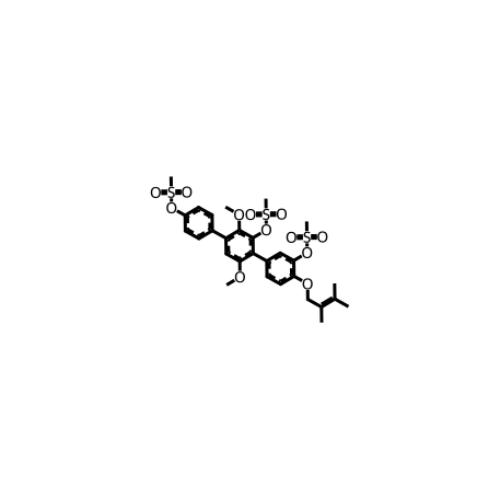 COc1cc(-c2ccc(OS(C)(=O)=O)cc2)c(OC)c(OS(C)(=O)=O)c1-c1ccc(OCC(C)=C(C)C)c(OS(C)(=O)=O)c1